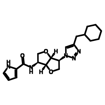 O=C(N[C@H]1CO[C@H]2[C@@H]1OC[C@@H]2n1cc(CC2CCCCC2)nn1)c1ccc[nH]1